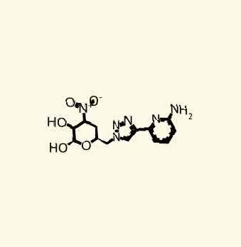 Nc1cccc(-c2cn(C[C@@H]3CC([N+](=O)[O-])C(O)[C@H](O)O3)nn2)n1